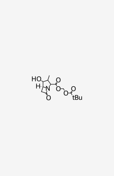 CC1C(O)[C@@H]2CC(=O)N2C1C(=O)OCOC(=O)C(C)(C)C